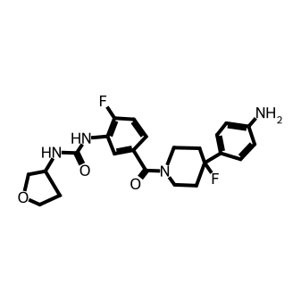 Nc1ccc(C2(F)CCN(C(=O)c3ccc(F)c(NC(=O)NC4CCOC4)c3)CC2)cc1